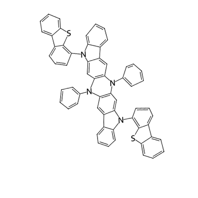 c1ccc(N2c3cc4c5ccccc5n(-c5cccc6c5sc5ccccc56)c4cc3N(c3ccccc3)c3cc4c5ccccc5n(-c5cccc6c5sc5ccccc56)c4cc32)cc1